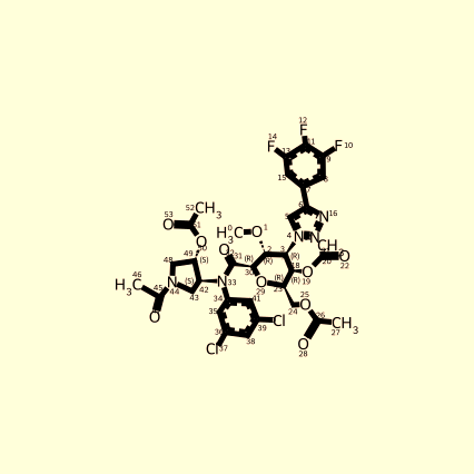 CO[C@@H]1[C@@H](n2cc(-c3cc(F)c(F)c(F)c3)nn2)[C@@H](OC(C)=O)[C@@H](COC(C)=O)O[C@H]1C(=O)N(c1cc(Cl)cc(Cl)c1)[C@H]1CN(C(C)=O)C[C@@H]1OC(C)=O